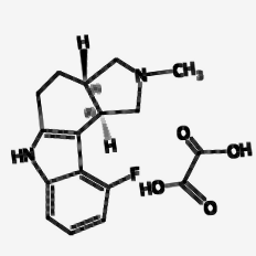 CN1C[C@H]2CCc3[nH]c4cccc(F)c4c3[C@@H]2C1.O=C(O)C(=O)O